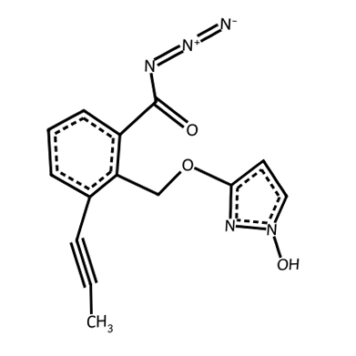 CC#Cc1cccc(C(=O)N=[N+]=[N-])c1COc1ccn(O)n1